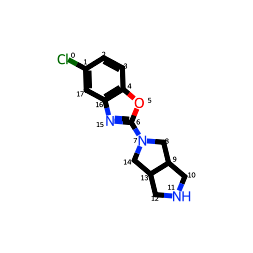 Clc1ccc2oc(N3CC4CNCC4C3)nc2c1